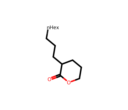 CCCCCCCCCC1CCCOC1=O